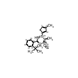 CC1=CC[C]([Ti+2]([NH]C(=O)c2ccccc2C(C)(C)C)[SiH](C)C)=C1.[Cl-].[Cl-]